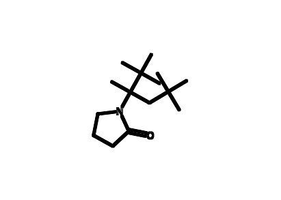 CC(C)(C)CC(C)(N1CCCC1=O)C(C)(C)C